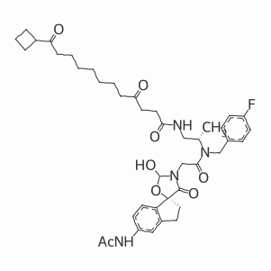 CC(=O)Nc1ccc2c(c1)CC[C@@]21OC(O)N(CC(=O)N(Cc2ccc(F)cc2)[C@@H](C)CNC(=O)CCC(=O)CCCCCCCC(=O)C2CCC2)C1=O